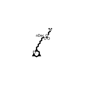 CCCCCCCCCCC(CCCCCCCC1CC1CC1CC1CC1CC1CC)OC(=O)OCCCN(C)C